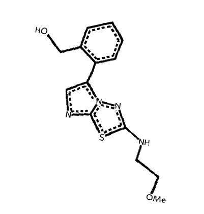 COCCNc1nn2c(-c3ccccc3CO)cnc2s1